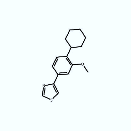 COc1cc(-c2cscn2)ccc1C1CCCCC1